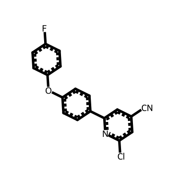 N#Cc1cc(Cl)nc(-c2ccc(Oc3ccc(F)cc3)cc2)c1